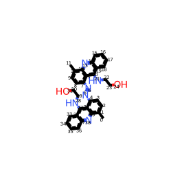 Cc1ccc(N=Nc2ccc(C)c3nc4ccccc4c(NCCO)c23)c2c(NCCO)c3ccccc3nc12